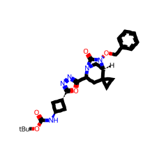 CC(C)(C)OC(=O)N[C@H]1C[C@H](c2nnc(C3CC4(CC4)[C@H]4CN3C(=O)N4OCc3ccccc3)o2)C1